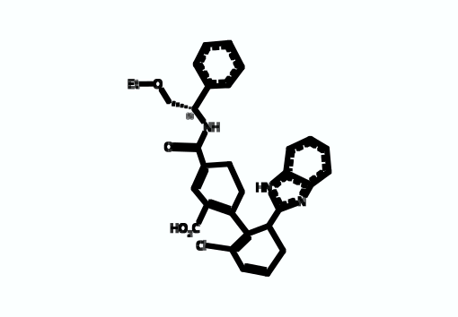 CCOC[C@@H](NC(=O)C1=CC(C(=O)O)=C(C2=C(Cl)C=CCC2c2nc3ccccc3[nH]2)CC1)c1ccccc1